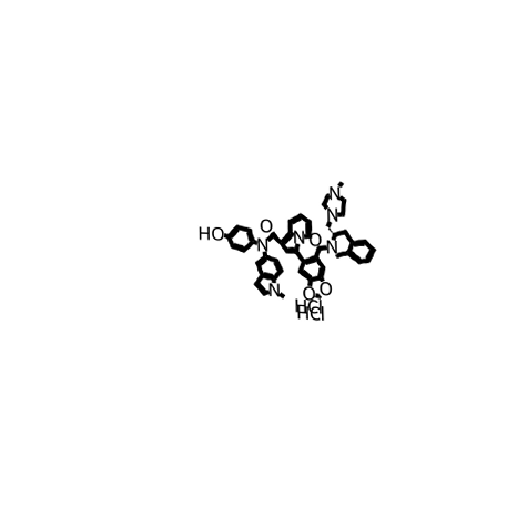 CN1CCN(C[C@@H]2Cc3ccccc3CN2C(=O)c2cc3c(cc2-c2cc(C(=O)N(c4ccc(O)cc4)c4ccc5c(ccn5C)c4)c4ccccn24)OCO3)CC1.Cl.Cl